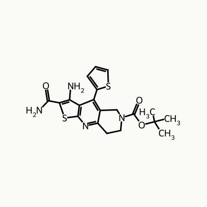 CC(C)(C)OC(=O)N1CCc2nc3sc(C(N)=O)c(N)c3c(-c3cccs3)c2C1